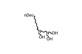 CCCCCCCCCCCCCCCCC=CN(CCO)CCCN(CCO)CCO